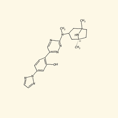 CN(c1ncc(-c2ccc(-n3nccn3)cc2O)nn1)C1CC2(C)CC[C@@](C)(C1)N2